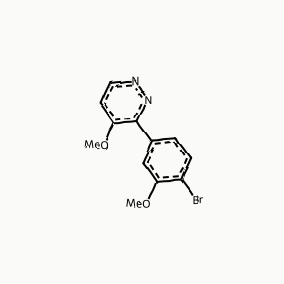 COc1cc(-c2nnccc2OC)ccc1Br